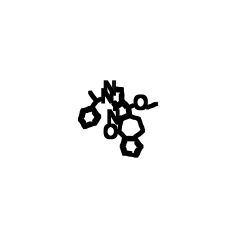 CCOc1c2c(nc3c1cnn3C(C)c1ccccc1)C(=O)c1ccccc1CC2